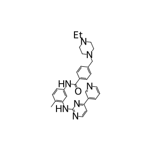 CCN1CCN(Cc2ccc(C(=O)Nc3ccc(C)c(Nc4nccc(-c5cccnc5)n4)c3)cc2)CC1